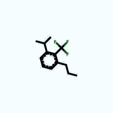 CCCc1cccc([C](C)C)c1C(F)(F)F